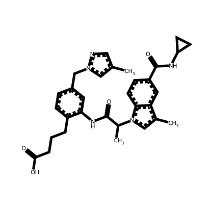 Cc1cnn(Cc2ccc(CCCC(=O)O)c(NC(=O)C(C)n3cc(C)c4cc(C(=O)NC5CC5)ccc43)c2)c1